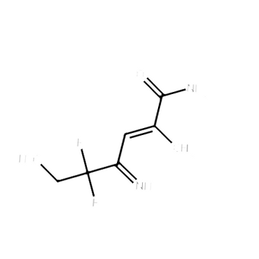 CCC(F)(F)C(=N)/C=C(\C)C(N)=O